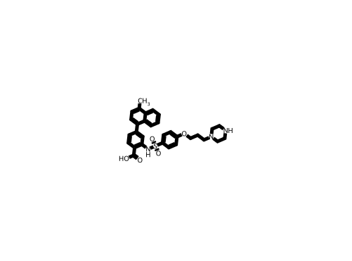 Cc1ccc(-c2ccc(C(=O)O)c(NS(=O)(=O)c3ccc(OCCCN4CCNCC4)cc3)c2)c2ccccc12